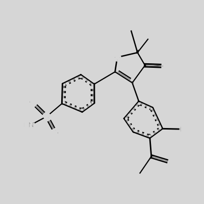 CC(=O)c1ccc(C2=C(c3ccc(S(N)(=O)=O)cc3)OC(C)(C)C2=O)cc1F